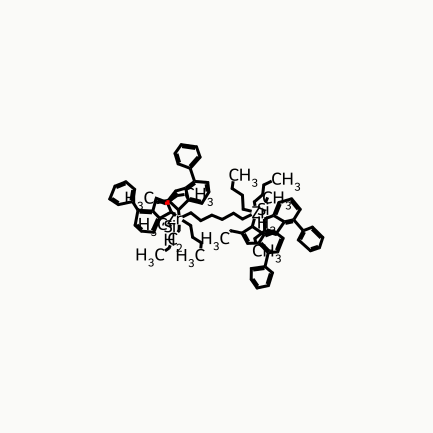 CCC[CH2][Zr]([CH2]CCC)([CH2]CCCC[CH2][Zr]([CH2]CCC)([CH2]CCC)([SiH2]C)([CH]1C(CC)=Cc2c(-c3ccccc3)cccc21)[CH]1C(CC)=Cc2c(-c3ccccc3)cccc21)([SiH2]C)([CH]1C(CC)=Cc2c(-c3ccccc3)cccc21)[CH]1C(CC)=Cc2c(-c3ccccc3)cccc21